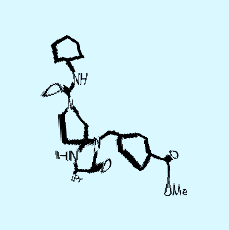 COC(=O)c1ccc(CN2C(=O)C(C(C)C)NC23CCN(C(=O)NC2CCCCC2)CC3)cc1